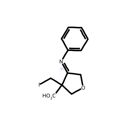 O=C(O)C1(CI)COC/C1=N\c1ccccc1